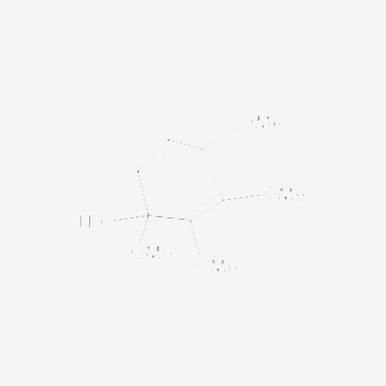 COC1=C(OC)C(C)(OC)C=CC1OC